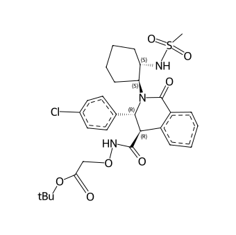 CC(C)(C)OC(=O)CONC(=O)[C@@H]1c2ccccc2C(=O)N([C@H]2CCCC[C@@H]2NS(C)(=O)=O)[C@H]1c1ccc(Cl)cc1